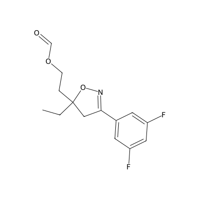 CCC1(CCOC=O)CC(c2cc(F)cc(F)c2)=NO1